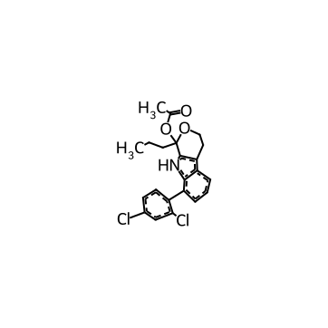 CCCC1(OC(C)=O)OCCc2c1[nH]c1c(-c3ccc(Cl)cc3Cl)cccc21